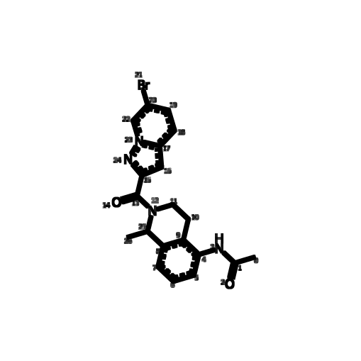 CC(=O)Nc1cccc2c1CCN(C(=O)c1cc3ccc(Br)cn3n1)C2C